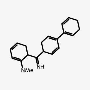 CNC1=CC=CCC1C(=N)C1C=CC(C2=CCCC=C2)=CC1